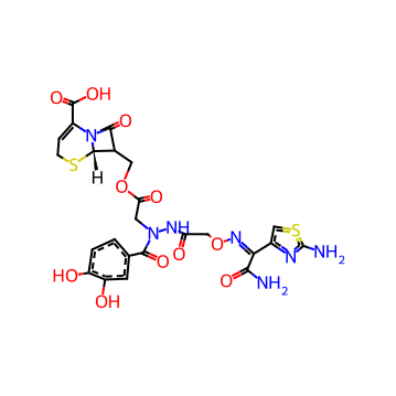 NC(=O)C(=NOCC(=O)NN(CC(=O)OCC1C(=O)N2C(C(=O)O)=CCS[C@@H]12)C(=O)c1ccc(O)c(O)c1)c1csc(N)n1